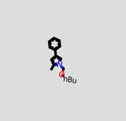 CCCCOCn1cc(-c2ccccc2)cc1C